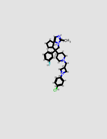 Cc1nccn1CC(c1cccc(F)c1)(C1CCCC1)C1CCN(CC2CN(c3ccc(Cl)cc3)C2)CC1